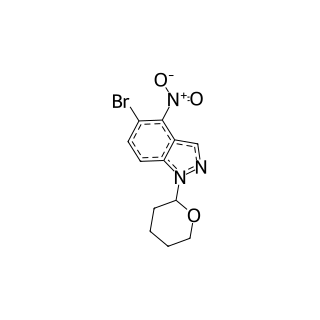 O=[N+]([O-])c1c(Br)ccc2c1cnn2C1CCCCO1